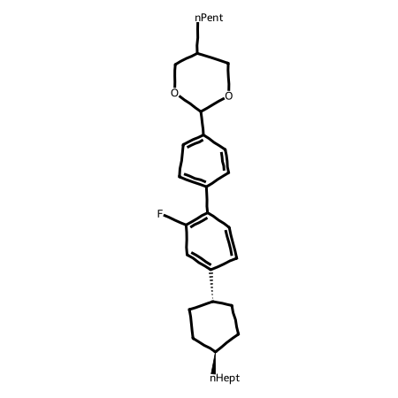 CCCCCCC[C@H]1CC[C@H](c2ccc(-c3ccc(C4OCC(CCCCC)CO4)cc3)c(F)c2)CC1